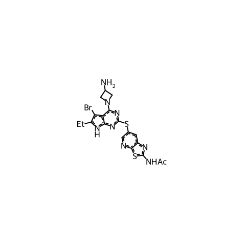 CCc1[nH]c2nc(Sc3cnc4sc(NC(C)=O)nc4c3)nc(N3CC(N)C3)c2c1Br